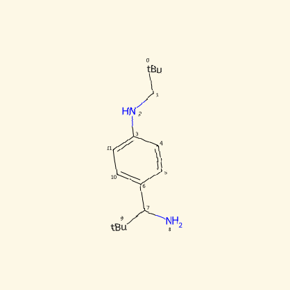 CC(C)(C)CNc1ccc(C(N)C(C)(C)C)cc1